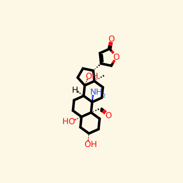 C[C@]12CC[C@@]3(N)[C@@H](CC[C@]4(O)C[C@@H](O)CC[C@@]43C=O)[C@@]1(O)CC[C@@H]2C1=CC(=O)OC1